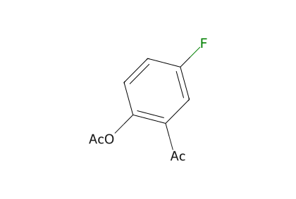 CC(=O)Oc1ccc(F)cc1C(C)=O